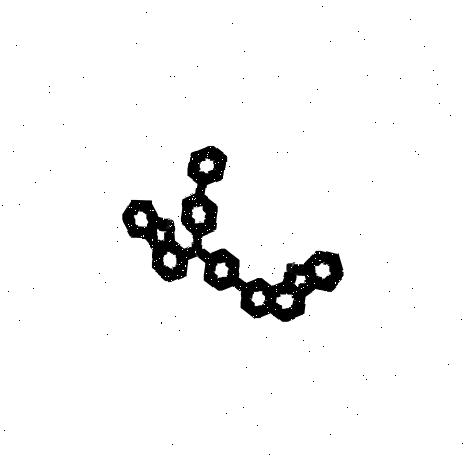 c1ccc(-c2ccc(N(c3ccc(-c4ccc5ccc6c7ccccc7sc6c5c4)cc3)c3cccc4c3oc3ccccc34)cc2)cc1